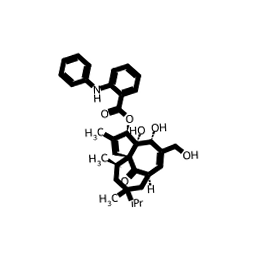 CC1=C[C@]23C(=O)[C@@H](C=C(CO)[C@@H](O)[C@]2(O)[C@H]1OC(=O)c1ccccc1Nc1ccccc1)CC(C)(C(C)C)C[C@H]3C